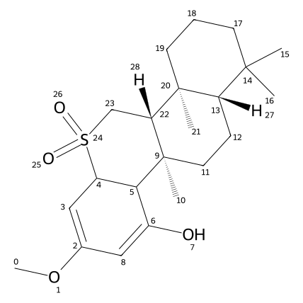 COC1=CC2C(C(O)=C1)[C@]1(C)CC[C@H]3C(C)(C)CCC[C@]3(C)[C@H]1CS2(=O)=O